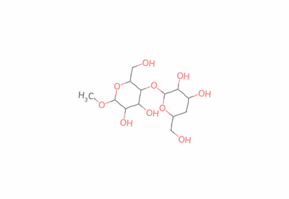 COC1OC(CO)C(OC2OC(CO)CC(O)C2O)C(O)C1O